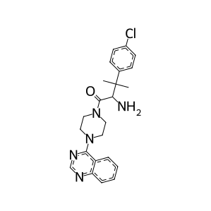 CC(C)(c1ccc(Cl)cc1)C(N)C(=O)N1CCN(c2ncnc3ccccc23)CC1